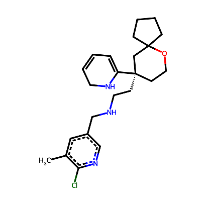 Cc1cc(CNCC[C@@]2(C3=CC=CCN3)CCOC3(CCCC3)C2)cnc1Cl